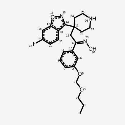 CCCOCOc1cccc(C(CC2(c3noc4cc(F)ccc34)CCNCC2)=NO)c1